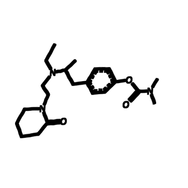 CCN(CCN1CCCCC1=O)C(C)Cc1ccc(OC(=O)N(C)C)cc1